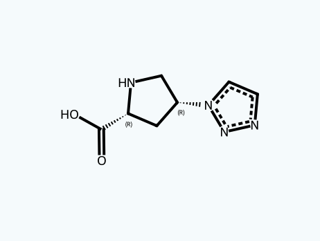 O=C(O)[C@H]1C[C@@H](n2ccnn2)CN1